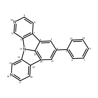 c1ccc(-c2cc3c4ccncc4n4c5cnccc5c(c2)c34)cc1